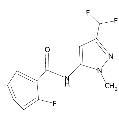 Cn1nc(C(F)F)cc1NC(=O)c1ccccc1F